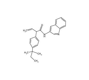 C=CC(C(=O)Nc1cnc2ccccc2c1)c1ccc(C(C)(C)CC)cc1